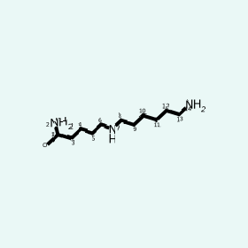 CC(N)CCCCNCCCCCCN